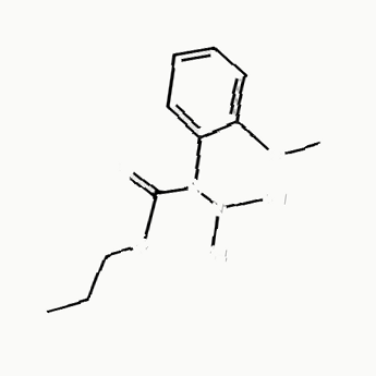 CCCOC(=O)N(c1ccccc1OC)N(S)S